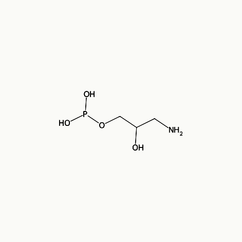 NCC(O)COP(O)O